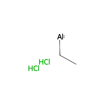 C[CH2][Al].Cl.Cl